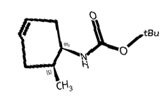 C[C@H]1CC=CC[C@H]1NC(=O)OC(C)(C)C